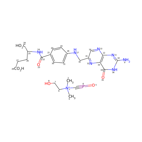 C[N+](C)(C#P=O)CCO.Nc1nc2ncc(CNc3ccc(C(=O)NC(CCC(=O)O)C(=O)O)cc3)nc2c(=O)[nH]1